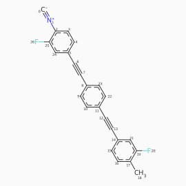 [C-]#[N+]c1ccc(C#Cc2ccc(C#Cc3ccc(C)c(F)c3)cc2)cc1F